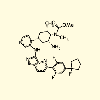 COC(=O)N(C)[C@@H]1[C@H](N)C[C@H](c2ccncc2Nc2ncc3ccc(-c4c(F)cc(C5(F)CCCC5)cc4F)nn23)C[C@@H]1C